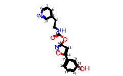 O=C(NCCc1cccnc1)Oc1cc(-c2cccc(O)c2)on1